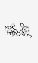 CCCC1CCC(C)C(CC(C(=O)O)C(=O)O)C1CC(C(=O)O)C(=O)O